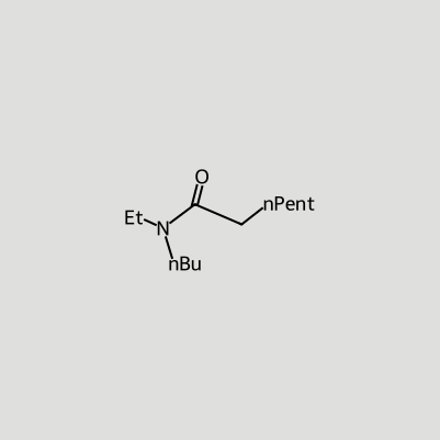 CCCCCCC(=O)N(CC)CCCC